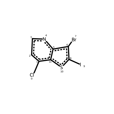 Clc1ccnc2c(Br)c(I)sc12